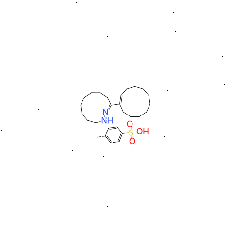 C1=C(/C2=N\NCCCCCCCC2)CCCCCCCCC/1.Cc1ccc(S(=O)(=O)O)cc1